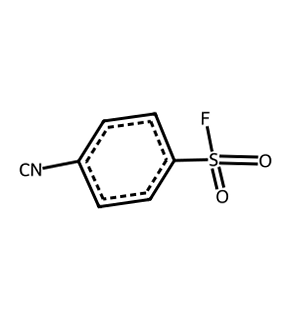 [C-]#[N+]c1ccc(S(=O)(=O)F)cc1